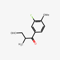 COc1ccc(C(=O)C(C)CC=O)cc1F